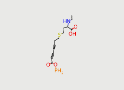 CCNC(CCSCCC#CC#CC(=O)OP)C(=O)O